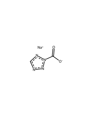 O=C([O-])n1ncnn1.[Na+]